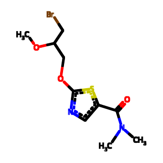 COC(CBr)COc1ncc(C(=O)N(C)C)s1